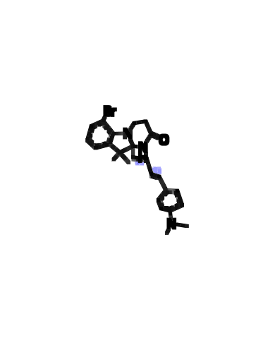 CN(C)c1ccc(/C=C/C=C/C23NC(=O)CCN2c2c(Br)cccc2C3(C)C)cc1